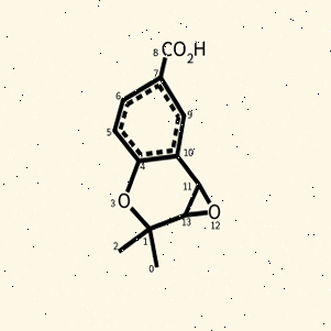 CC1(C)Oc2ccc(C(=O)O)cc2C2OC21